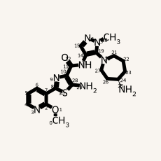 COc1ncccc1-c1nc(C(=O)Nc2cnn(C)c2N2CCC[C@H](N)CC2)c(N)s1